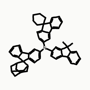 CC1(C)c2ccccc2-c2ccc(N(c3ccc4c(c3)-c3ccccc3C43CCCCC3)c3ccc4c(c3)-c3ccccc3C43C4CC5CC(C4)CC3C5)cc21